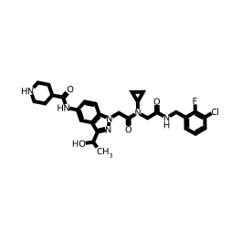 CC(O)c1nn(CC(=O)N(CC(=O)NCc2cccc(Cl)c2F)C2CC2)c2ccc(NC(=O)C3CCNCC3)cc12